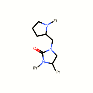 CCN1CCCC1CN1CC(C(C)C)N(C(C)C)C1=O